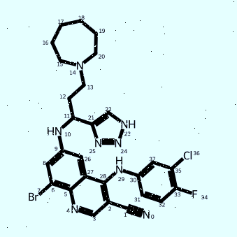 N#Cc1cnc2c(Br)cc(NC(CCN3CCCCCC3)c3c[nH]nn3)cc2c1Nc1ccc(F)c(Cl)c1